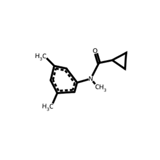 Cc1cc(C)cc(N(C)C(=O)C2CC2)c1